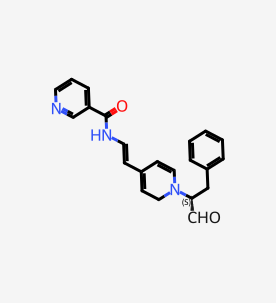 O=C[C@H](Cc1ccccc1)N1C=CC(C=CNC(=O)c2cccnc2)=CC1